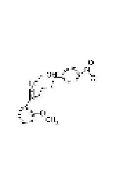 CCO.COc1ccccc1NCCCCc1ccc([N+](=O)[O-])cc1